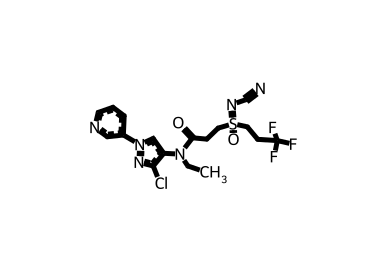 CCN(C(=O)CCS(=O)(CCC(F)(F)F)=NC#N)c1cn(-c2cccnc2)nc1Cl